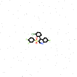 O=S(=O)(c1ccc(F)c(F)c1)c1cnc2cc(F)ccc2c1-c1cccc(Cl)c1